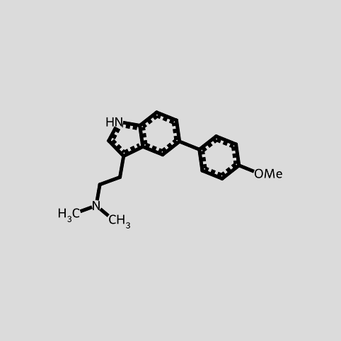 COc1ccc(-c2ccc3[nH]cc(CCN(C)C)c3c2)cc1